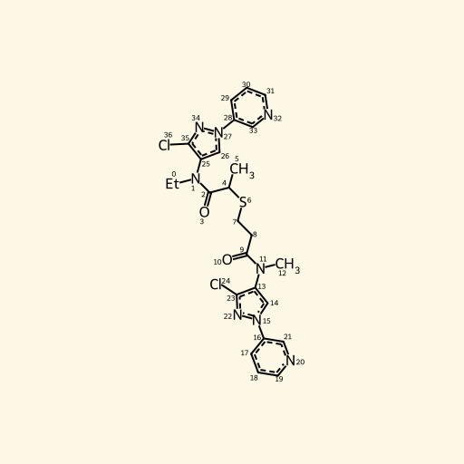 CCN(C(=O)C(C)SCCC(=O)N(C)c1cn(-c2cccnc2)nc1Cl)c1cn(-c2cccnc2)nc1Cl